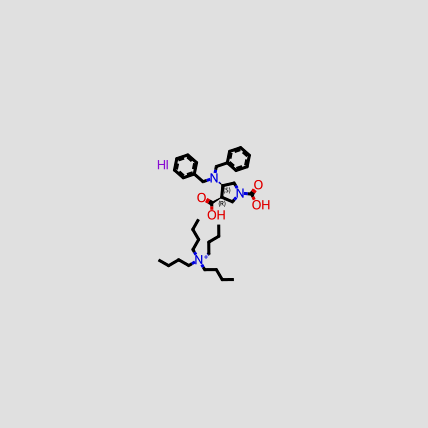 CCCC[N+](CCCC)(CCCC)CCCC.I.O=C(O)[C@@H]1CN(C(=O)O)C[C@H]1N(Cc1ccccc1)Cc1ccccc1